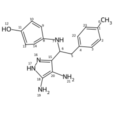 Cc1ccc(CC(Nc2ccc(O)cc2)c2n[nH]c(N)c2N)cc1